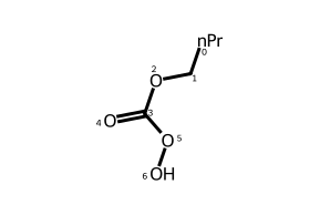 CCCCOC(=O)OO